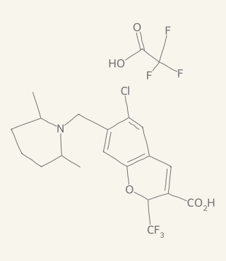 CC1CCCC(C)N1Cc1cc2c(cc1Cl)C=C(C(=O)O)C(C(F)(F)F)O2.O=C(O)C(F)(F)F